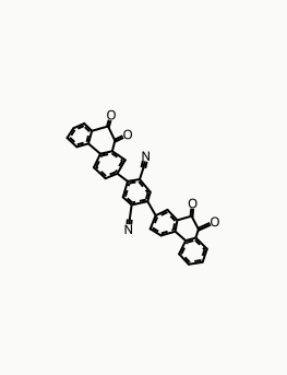 N#Cc1cc(-c2ccc3c(c2)C(=O)C(=O)c2ccccc2-3)c(C#N)cc1-c1ccc2c(c1)C(=O)C(=O)c1ccccc1-2